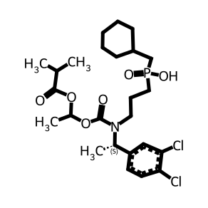 CC(OC(=O)C(C)C)OC(=O)N(CCCP(=O)(O)CC1CCCCC1)[C@@H](C)c1ccc(Cl)c(Cl)c1